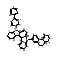 c1ccc(-c2ccc(-n3c4ccccc4c4c5c6ccccc6n(-c6ccc7c(ccc8ccccc87)c6)c5ccc43)cc2)cc1